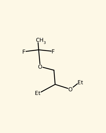 CCOC(CC)COC(C)(F)F